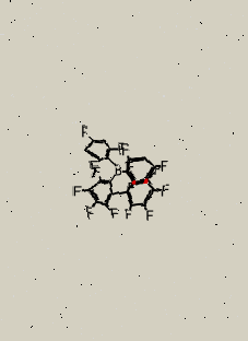 Fc1cc(F)c(B(c2c(F)cc(F)cc2F)c2c(F)c(F)c(F)c(F)c2-c2c(F)c(F)c(F)c(F)c2F)c(F)c1